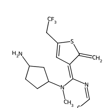 C=c1sc(CC(F)(F)F)c/c1=C(/N=C\C)N(C)C1CCC(N)C1